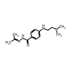 CC(C)=NNC(=O)c1ccc(NCCN(C)C)cc1